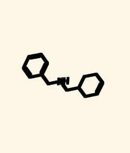 C1=CCC(CNCc2ccccc2)CC1